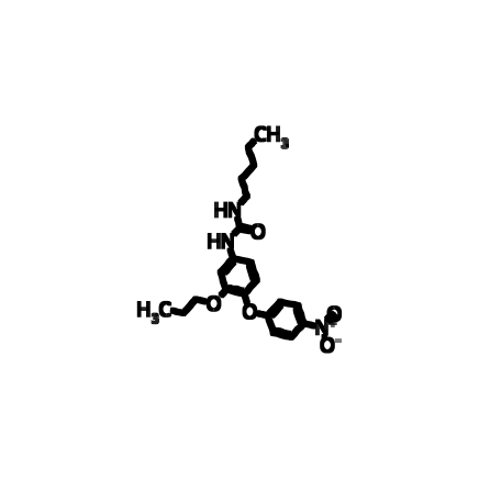 CCCCCNC(=O)Nc1ccc(Oc2ccc([N+](=O)[O-])cc2)c(OCCC)c1